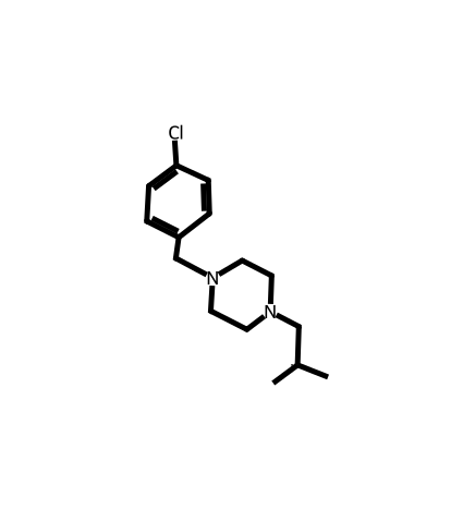 C[C](C)CN1CCN(Cc2ccc(Cl)cc2)CC1